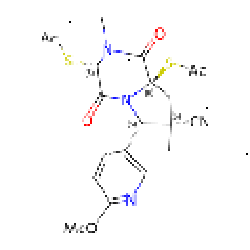 COc1ccc([C@@H]2N3C(=O)[C@H](SC(C)=O)N(C)C(=O)[C@]3(SC(C)=O)C[C@]2(C)C#N)cn1